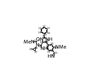 CNC(=O)N(C(=N)c1nc(-c2ccccc2)[nH]c1-c1ccc(C=N)c(NC)c1)C1CC1